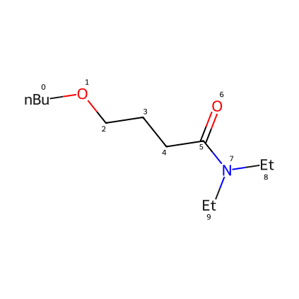 CCCCOCCCC(=O)N(CC)CC